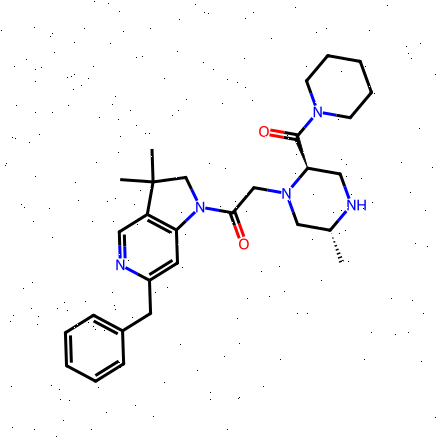 C[C@@H]1CN(CC(=O)N2CC(C)(C)c3cnc(Cc4ccccc4)cc32)[C@@H](C(=O)N2CCCCC2)CN1